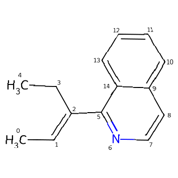 C/C=C(\CC)c1nccc2ccccc12